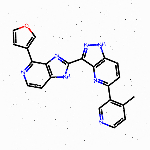 Cc1ccncc1-c1ccc2[nH]nc(-c3nc4c(-c5ccoc5)nccc4[nH]3)c2n1